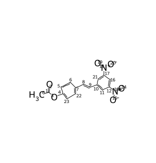 CC(=O)Oc1ccc(C=Cc2cc([N+](=O)[O-])cc([N+](=O)[O-])c2)cc1